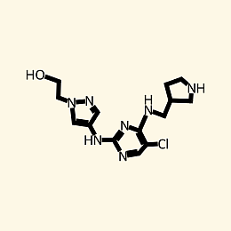 OCCn1cc(Nc2ncc(Cl)c(NCC3CCNC3)n2)cn1